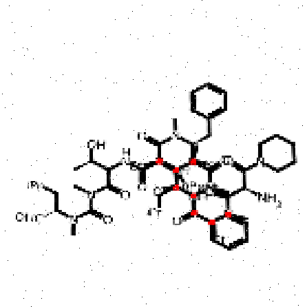 CCCCCN(CC(=O)NC(C(=O)N(C)C(=O)N(C)[C@H](C=O)CC(C)C)[C@@H](C)O)C(=O)[C@H](Cc1ccccc1)N(C)C(=O)C(CC)NC(=O)[C@H](Cc1ccccc1)N(C)C(=O)N(C)C(=O)[C@H](CC(C)C)NC(=O)[C@H](CC)N(C)C(=O)[C@H](N)C(=O)N1CCCCC1